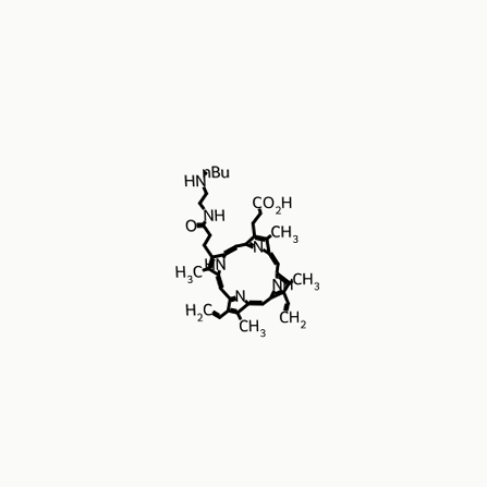 C=CC1=C(C)c2cc3[nH]c(cc4nc(cc5[nH]c(cc1n2)c(C)c5CCC(=O)NCCNCCCC)C(CCC(=O)O)=C4C)c(C)c3C=C